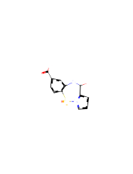 O=C(O)c1ccc2c(c1)NC(O)c1cccn1S2(=O)=O